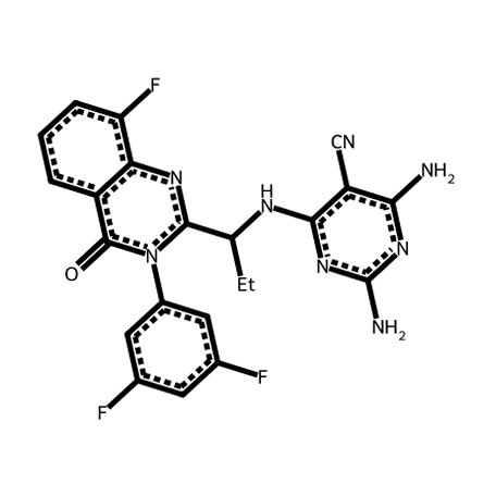 CCC(Nc1nc(N)nc(N)c1C#N)c1nc2c(F)cccc2c(=O)n1-c1cc(F)cc(F)c1